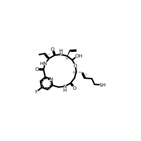 C=C[C@@H]1NC(=O)/C(=C/C)NC(=O)c2cc(F)cc(n2)CNC(=O)C[C@@H](/C=C/CCS)OC1O